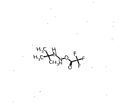 CC(C)(C)NNOC(=O)C(F)(F)F